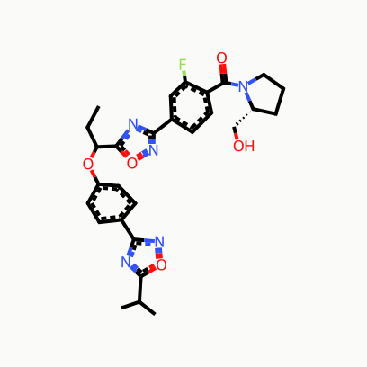 CCC(Oc1ccc(-c2noc(C(C)C)n2)cc1)c1nc(-c2ccc(C(=O)N3CCC[C@@H]3CO)c(F)c2)no1